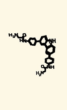 NCC(=O)Nc1ccc(-c2ccc3[nH]c4ccc(-c5ccc(NC(=O)CN)cc5)cc4c3c2)cc1